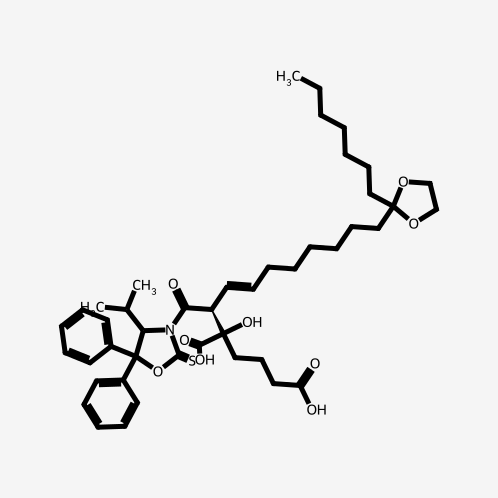 CCCCCCCC1(CCCCCCC=C[C@H](C(=O)N2C(=S)OC(c3ccccc3)(c3ccccc3)C2C(C)C)C(O)(CCCC(=O)O)C(=O)O)OCCO1